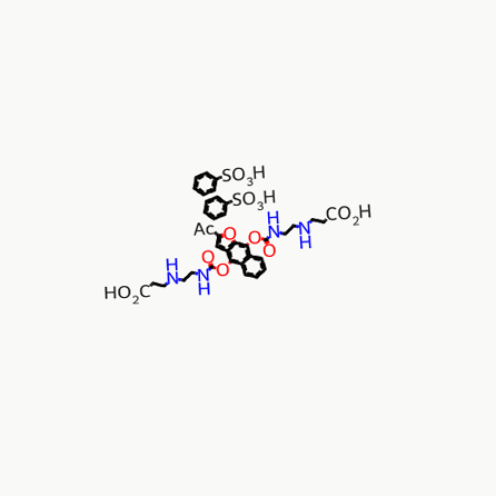 CC(=O)c1cc2c(OC(=O)NCCNCCC(=O)O)c3ccccc3c(OC(=O)NCCNCCC(=O)O)c2o1.O=S(=O)(O)c1ccccc1.O=S(=O)(O)c1ccccc1